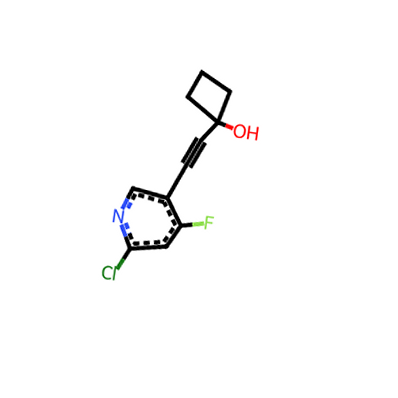 OC1(C#Cc2cnc(Cl)cc2F)CCC1